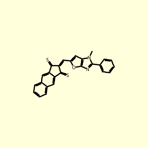 Cn1c(-c2ccccc2)nc2oc(C=C3C(=S)c4cc5ccccc5cc4C3=S)cc21